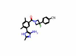 Cc1nc(N)c(-c2cc(C(=O)N3CC(F)(c4ccc(C#N)cc4)C3)c(C)cc2C)[nH]1